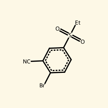 CCS(=O)(=O)c1ccc(Br)c(C#N)c1